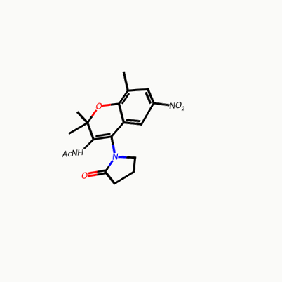 CC(=O)NC1=C(N2CCCC2=O)c2cc([N+](=O)[O-])cc(C)c2OC1(C)C